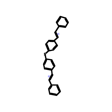 C(=C\c1ccc(Sc2ccc(/C=C/c3ccccc3)cc2)cc1)/c1ccccc1